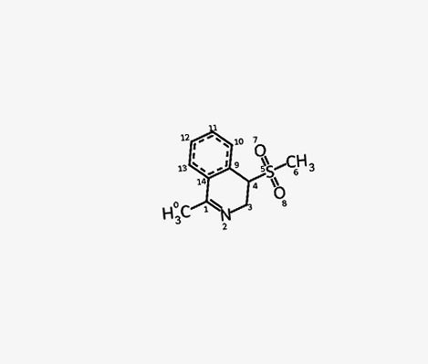 CC1=NCC(S(C)(=O)=O)c2ccccc21